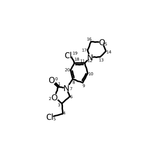 O=C1OC(CCl)CN1c1ccc(N2CCOCC2)c(Cl)c1